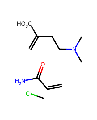 C=C(CCN(C)C)C(=O)O.C=CC(N)=O.CCl